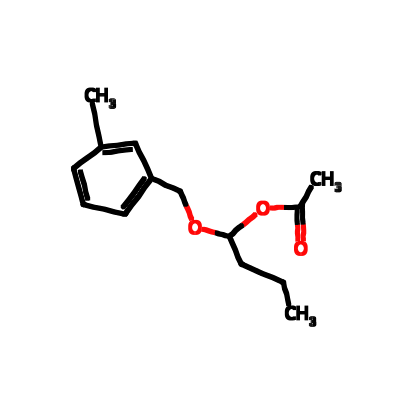 CCCC(OCc1cccc(C)c1)OC(C)=O